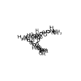 Cl.Cl.N=C(N)Nc1ccc(C(=O)Oc2ccc(C(=O)N[C@H](CC(=O)O)C(=O)O)c(OCCOCCOc3cc(OC(=O)c4ccc(NC(=N)N)cc4)ccc3C(=O)N[C@H](CC(=O)O)C(=O)O)c2)cc1